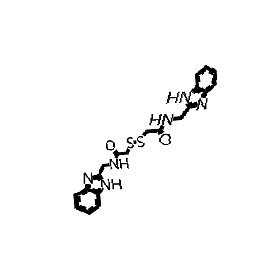 O=C(CSSCC(=O)NCc1nc2ccccc2[nH]1)NCc1nc2ccccc2[nH]1